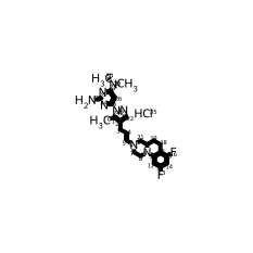 Cc1c(CC=CN2CCN3c4cc(F)cc(F)c4CCC3C2)cnn1-c1cc(N(C)C)nc(N)n1.Cl